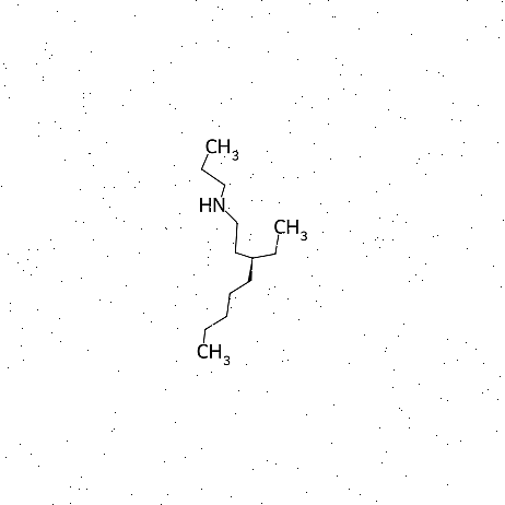 CCCCC[C@H](CC)CCNCCC